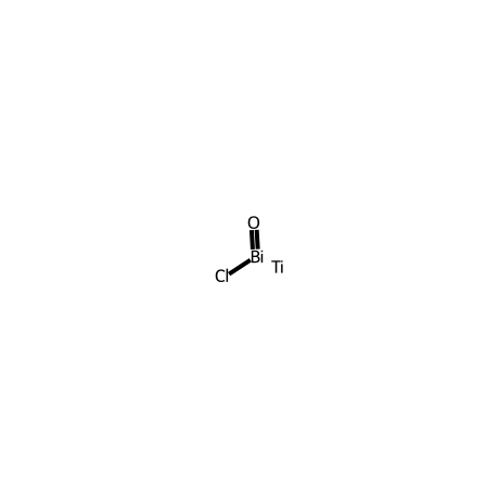 [O]=[Bi][Cl].[Ti]